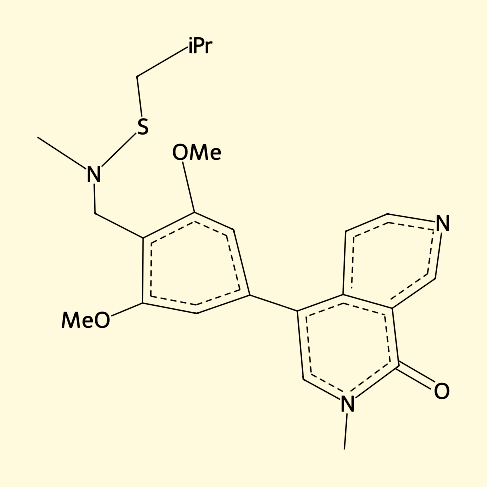 COc1cc(-c2cn(C)c(=O)c3cnccc23)cc(OC)c1CN(C)SCC(C)C